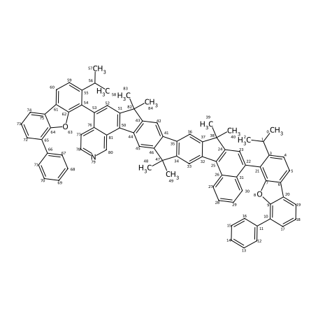 CC(C)c1ccc2c(oc3c(-c4ccccc4)cccc32)c1-c1cc2c(c3ccccc13)-c1cc3c(cc1C2(C)C)-c1cc2c(cc1C3(C)C)-c1c(cc(-c3c(C(C)C)ccc4c3oc3c(-c5ccccc5)cccc34)c3ccncc13)C2(C)C